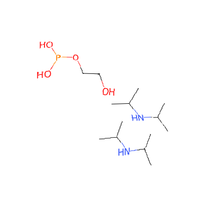 CC(C)NC(C)C.CC(C)NC(C)C.OCCOP(O)O